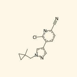 CC1(Cn2cc(-c3ccc(C#N)nc3Cl)cn2)CC1